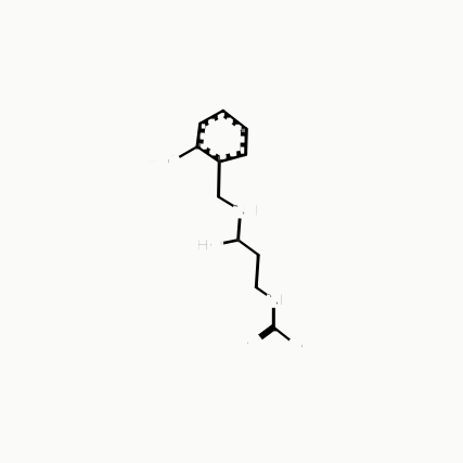 Cc1ccccc1CNC(O)CCNC(=O)O